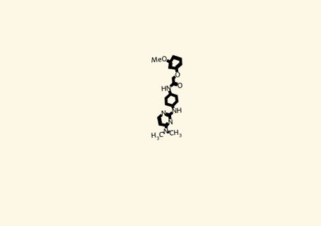 COc1cccc(OCC(=O)NC2CCC(Nc3nccc(N(C)C)n3)CC2)c1